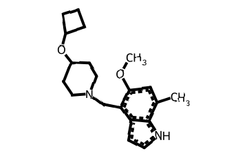 COc1cc(C)c2[nH]ccc2c1CN1CCC(OC2CCC2)CC1